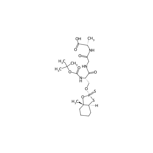 C[C@H](NC(=O)CNC(=O)[C@H](CO[P@@]1(=S)O[C@@]2(C)CCCC[C@@H]2S1)NC(=O)OC(C)(C)C)C(=O)O